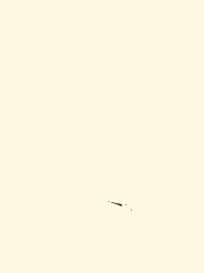 Cc1cccc(Cc2cccc([C@@H](N)CC(=O)O)c2)c1